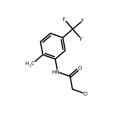 Cc1ccc(C(F)(F)F)cc1NC(=O)CCl